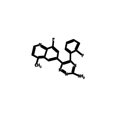 Cc1ccnc2c(F)cc(-c3nnc(N)nc3-c3ccccc3F)cc12